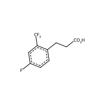 O=C(O)CCc1ccc(F)cc1C(F)(F)F